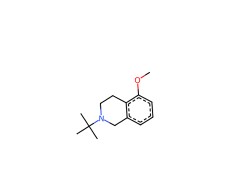 COc1cccc2c1CCN(C(C)(C)C)C2